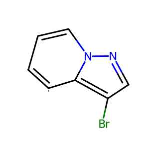 Brc1cnn2ccc[c]c12